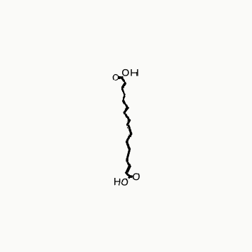 O=C(O)/C=C/CCCCCCCCCC/C=C/C(=O)O